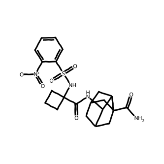 NC(=O)C12CC3CC(C1)C(NC(=O)C1(NS(=O)(=O)c4ccccc4[N+](=O)[O-])CCC1)C2C3